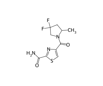 CC1CC(F)(F)CN1C(=O)c1csc(C(N)=O)n1